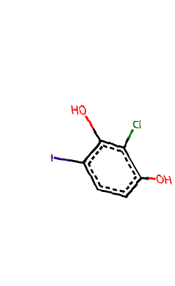 Oc1ccc(I)c(O)c1Cl